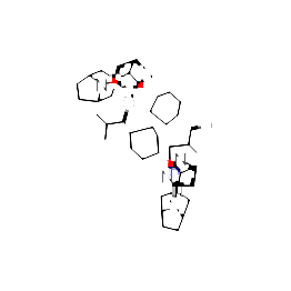 C/C(=C\CC(C)C(=O)[C@H]1CC[C@@H](c2nccc(N3C4CCC3CN(C(C)C)C4)n2)CC1)N1CC2CCC(C1)N2c1ccnc([C@H]2CC[C@H](C(=O)C(C)C)CC2)n1